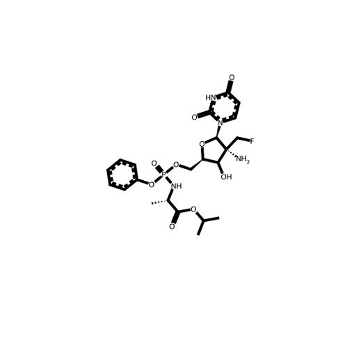 CC(C)OC(=O)[C@H](C)NP(=O)(OC[C@H]1O[C@@H](n2ccc(=O)[nH]c2=O)[C@@](N)(CF)C1O)Oc1ccccc1